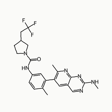 CNc1ncc2cc(-c3cc(NC(=O)N4CCC(CC(F)(F)F)C4)ccc3C)c(C)nc2n1